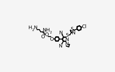 N#Cc1c(SCc2csc(-c3ccc(Cl)cc3)n2)nc(N2CCC2)c(C#N)c1-c1ccc(OCCOC(=O)[C@@H](N)CCCN)cc1